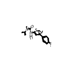 CC(C)N(C)C(=O)Nc1cc(-c2ccc(F)cc2)ns1